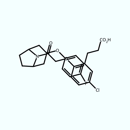 O=C(O)CCc1cc(Cl)ccc1OCC(=O)N1C2CCC1CC(Oc1ccc(F)cc1)C2